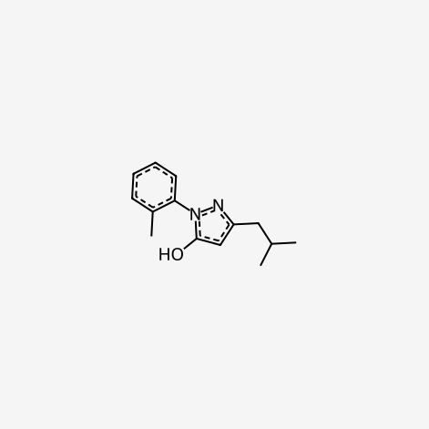 Cc1ccccc1-n1nc(CC(C)C)cc1O